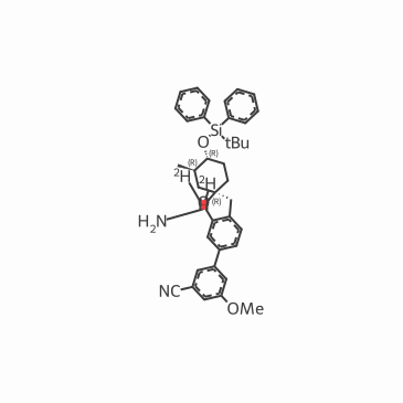 [2H]C1([2H])OC(N)=NC12c1cc(-c3cc(C#N)cc(OC)c3)ccc1C[C@]21CC[C@@H](O[Si](c2ccccc2)(c2ccccc2)C(C)(C)C)[C@H](C)C1